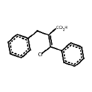 O=C(O)C(Cc1ccccc1)=C(Cl)c1ccccc1